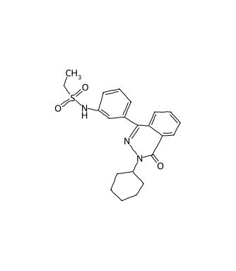 CCS(=O)(=O)Nc1cccc(-c2nn(C3CCCCC3)c(=O)c3ccccc23)c1